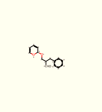 O=CC(CO[C@@H]1C=CC=CO1)Cc1ccccc1